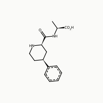 C[C@H](NC(=O)[C@H]1C[C@@H](c2ccccc2)CCN1)C(=O)O